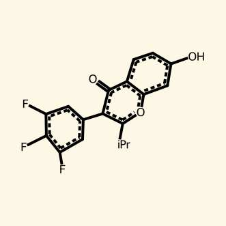 CC(C)c1oc2cc(O)ccc2c(=O)c1-c1cc(F)c(F)c(F)c1